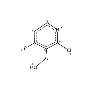 OCc1c(F)ccnc1Cl